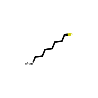 CCCCCCCCCCC[C]=S